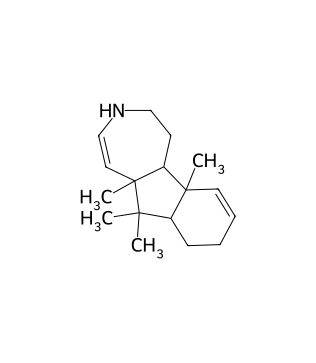 CC12C=CCCC1C(C)(C)C1(C)C=CNCCC21